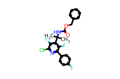 CC(C)(NC(=O)OCc1ccccc1)c1c(F)c(Cl)nc(-c2ccc(F)cc2)c1F